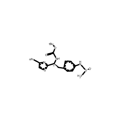 CCCc1csc([C@H](Cc2ccc(N[S+]([O-])P)cc2)NC(=O)OC(C)(C)C)n1